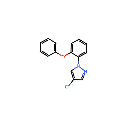 Clc1cnn(-c2ccccc2Oc2ccccc2)c1